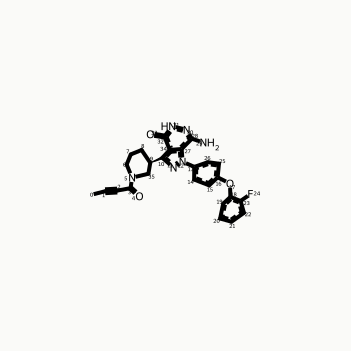 CC#CC(=O)N1CCC[C@@H](c2nn(-c3ccc(Oc4ccccc4F)cc3)c3c(N)n[nH]c(=O)c23)C1